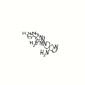 Bc1nc(N2CCC3(CC2)Cc2ncccc2C3N)n2ccnc2c1Sc1ccnc(N)c1Cl